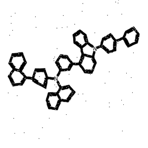 c1ccc(-c2ccc(-n3c4ccccc4c4c(-c5cccc(N(c6ccc(-c7cccc8ccccc78)cc6)c6cccc7ccccc67)c5)cccc43)cc2)cc1